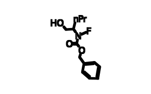 CCCC(CO)N(F)C(=O)OCc1ccccc1